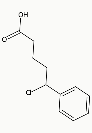 O=C(O)CCCC(Cl)c1ccccc1